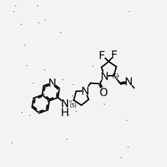 CN=C[C@@H]1CC(F)(F)CN1C(=O)CN1CC[C@H](Nc2cncc3ccccc23)C1